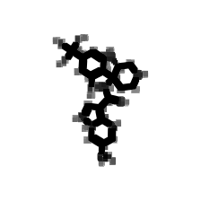 Cc1cnc2c(C(=O)N[C@]3(c4ccc(C(F)(F)F)cc4F)CCOC[C@H]3O)cnn2c1